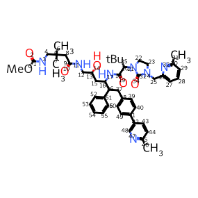 COC(=O)NCC(C)(C)CC(=O)NCC(O)CC(NC(=O)C(N1CCN(Cc2cccc(C)n2)C1=O)C(C)(C)C)C(Cc1ccc(-c2ccc(C)nc2)cc1)c1ccccc1